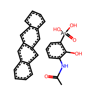 CC(=O)Nc1cccc([As](=O)(O)O)c1O.c1ccc2cc3cc4ccccc4cc3cc2c1